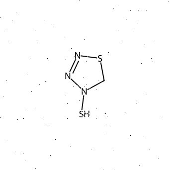 SN1CSN=N1